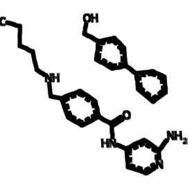 CCCCCNCc1ccc(C(=O)Nc2ccnc(N)c2)cc1.OCc1ccc(-c2ccccc2)cc1